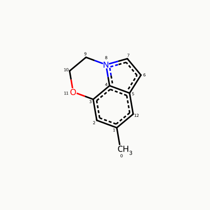 Cc1cc2c3c(ccn3CCO2)c1